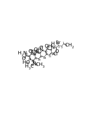 C=CCC(Br)C(=O)Nc1c(Cl)cc2c(c1O)C(=O)C1=C(O)[C@]3(O)C(=O)C(C(N)=O)=C(O)[C@@H](N(C)C)C3CC1C2